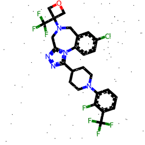 Fc1c(N2CCC(c3nnc4n3-c3ccc(Cl)cc3CN(C3(C(F)(F)F)COC3)C4)CC2)cccc1C(F)(F)F